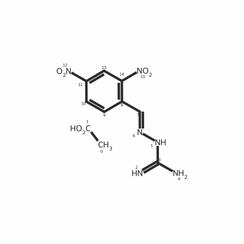 CC(=O)O.N=C(N)N/N=C/c1ccc([N+](=O)[O-])cc1[N+](=O)[O-]